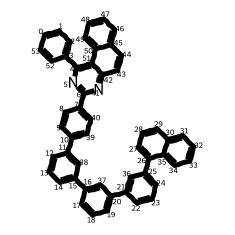 c1ccc(-c2nc(-c3ccc(-c4cccc(-c5cccc(-c6cccc(-c7cccc8ccccc78)c6)c5)c4)cc3)nc3ccc4ccccc4c23)cc1